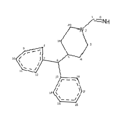 N=CN1CCC(C(c2ccccc2)c2ccccc2)CC1